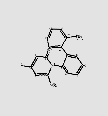 CCCCc1cc(C)cc(=O)n1-c1ccccc1-c1ccccc1N